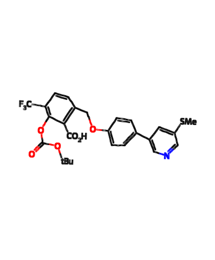 CSc1cncc(-c2ccc(OCc3ccc(C(F)(F)F)c(OC(=O)OC(C)(C)C)c3C(=O)O)cc2)c1